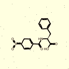 O=C(N[C@@H](Cc1ccccc1)C(=O)O)C1=CCC(=S(=O)=O)C=C1